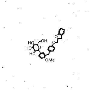 COc1ccc([C@@H]2O[C@H](CO)[C@@H](O)[C@H](O)[C@H]2O)cc1Cc1ccc(OCC2Cc3ccccc3O2)cc1